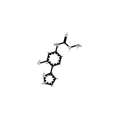 CC(C)(C)OC(=O)Nc1ccc(-c2ccno2)c(Cl)c1